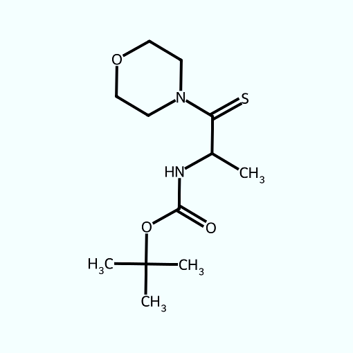 CC(NC(=O)OC(C)(C)C)C(=S)N1CCOCC1